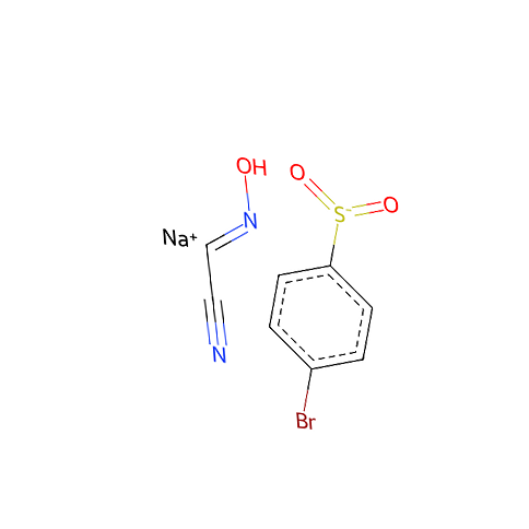 N#CC=NO.O=[S-](=O)c1ccc(Br)cc1.[Na+]